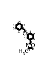 Cc1coc(-c2cccc(OCc3ccccc3)c2)n1